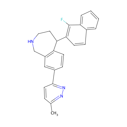 Cc1ccc(-c2ccc3c(c2)CNCCC3c2ccc3ccccc3c2F)nn1